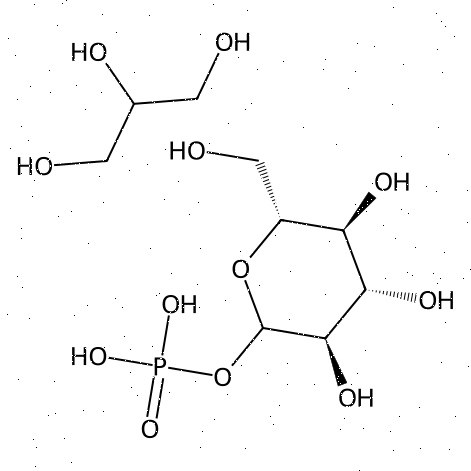 O=P(O)(O)OC1O[C@H](CO)[C@@H](O)[C@H](O)[C@H]1O.OCC(O)CO